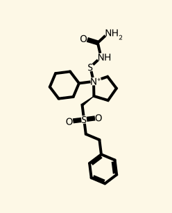 NC(=O)NS[N+]1(C2CCCCC2)CCC[C@H]1CS(=O)(=O)CCc1ccccc1